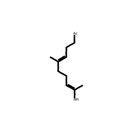 CCCC(C)=CCCC(C)=CCCC(C)=O